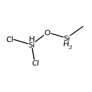 C[SiH2]O[SiH](Cl)Cl